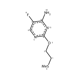 CSCCOc1ncc(F)c(N)n1